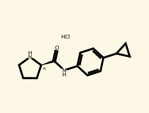 Cl.O=C(Nc1ccc(C2CC2)cc1)[C@H]1CCCN1